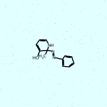 CC1(/N=N/c2ccccc2)NC=CC=C1O